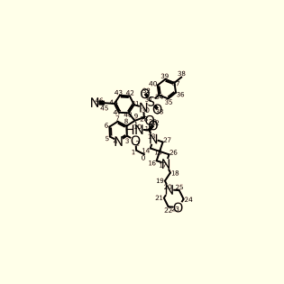 CCOc1ncccc1[C@]1(NC(=O)N2CC3(CN(CCN4CCOCC4)C3)C2)C(=O)N(S(=O)(=O)c2ccc(C)cc2)c2ccc(C#N)cc21